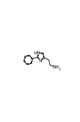 NCCc1c[nH]c(-c2ccccc2)n1